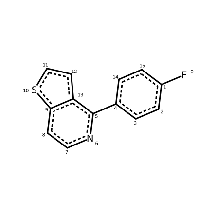 Fc1ccc(-c2nccc3sccc23)cc1